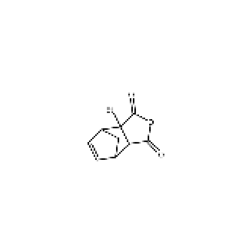 CCC12C(=O)OC(=O)C1C1C=CC2C1